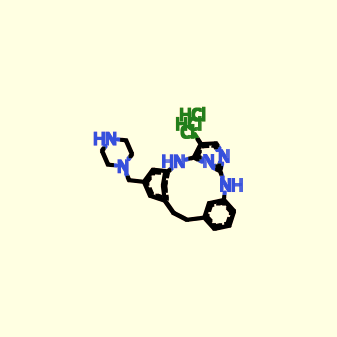 Cl.Cl.Clc1cnc2nc1Nc1cc(cc(CN3CCNCC3)c1)CCc1cccc(c1)N2